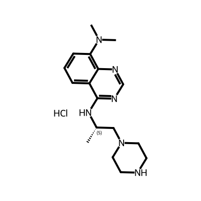 C[C@@H](CN1CCNCC1)Nc1ncnc2c(N(C)C)cccc12.Cl